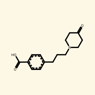 O=C1CCN(CCCc2ccc(C(=O)O)cc2)CC1